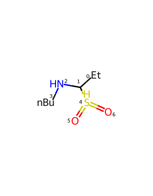 [CH2]CC(NCCCC)[SH](=O)=O